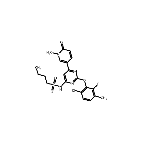 CCCCS(=O)(=O)Nc1cc(-c2ccc(=O)n(C)c2)nc(Oc2c(Cl)ccc(C)c2F)n1